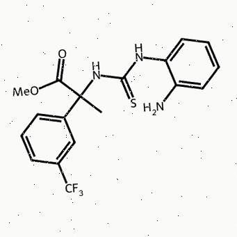 COC(=O)C(C)(NC(=S)Nc1ccccc1N)c1cccc(C(F)(F)F)c1